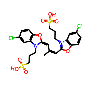 CC(=Cc1oc2ccc(Cl)cc2[n+]1CCCS(=O)(=O)O)C=C1Oc2ccc(Cl)cc2N1CCCS(=O)(=O)O